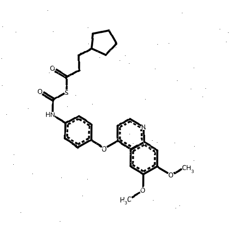 COc1cc2nccc(Oc3ccc(NC(=O)SC(=O)CCC4CCCC4)cc3)c2cc1OC